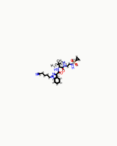 CC(C)(C)[C@H](NC(=O)c1nn(CCCCC#N)c2ccccc12)C(=O)NCCNS(=O)(=O)C1CC1